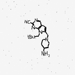 CC(C)(C)Cn1c(CN2CCC(N)CC2)cc2cnc(C#N)nc21